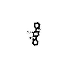 Cc1c2[nH]c3ccccc3c2cc2oc3ccccc3c12